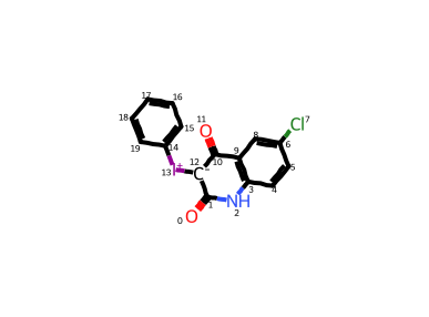 O=c1[nH]c2ccc(Cl)cc2c(=O)[c-]1[I+]c1ccccc1